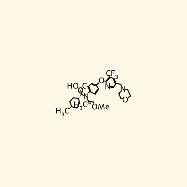 COC[C@H](C)N(c1ccc(Oc2ncc(CN3CCOCC3)cc2C(F)(F)F)cc1C(=O)O)C(=O)[C@H]1CC[C@H](C)CC1